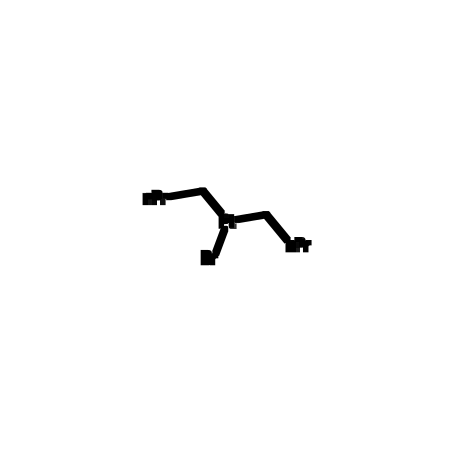 CCC[CH2][Pt]([Br])[CH2]CCC